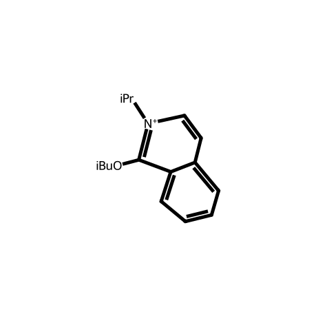 CC(C)COc1c2ccccc2cc[n+]1C(C)C